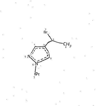 CC(Br)c1cnn(C(C)C)c1